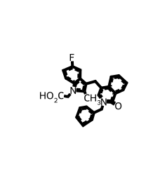 Cc1c(Cc2cn(Cc3ccccc3)c(=O)c3ccccc23)c2cc(F)ccc2n1CC(=O)O